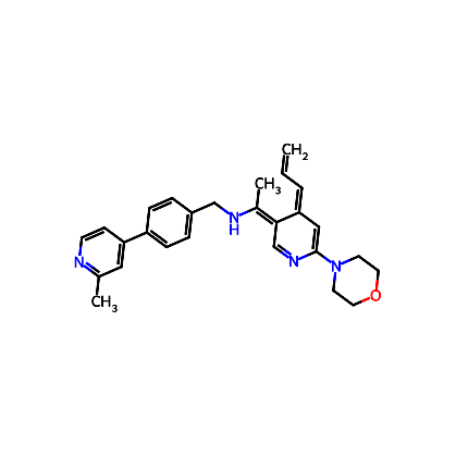 C=C/C=c1/cc(N2CCOCC2)nc/c1=C(/C)NCc1ccc(-c2ccnc(C)c2)cc1